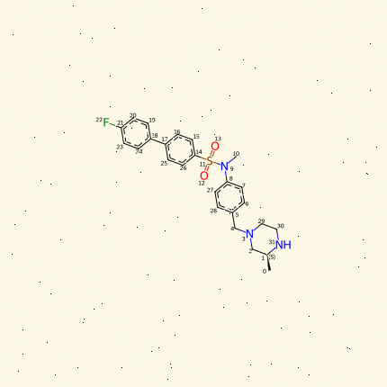 C[C@H]1CN(Cc2ccc(N(C)S(=O)(=O)c3ccc(-c4ccc(F)cc4)cc3)cc2)CCN1